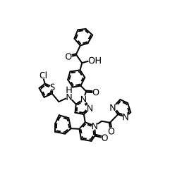 O=C(Cn1c(-c2cc(NCc3ccc(Cl)s3)n(C(=O)c3cccc(C(O)C(=O)c4ccccc4)c3)n2)c(-c2ccccc2)ccc1=O)c1ncccn1